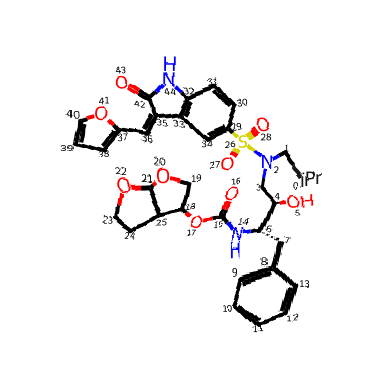 CC(C)CN(C[C@@H](O)[C@H](Cc1ccccc1)NC(=O)OC1COC2OCCC12)S(=O)(=O)c1ccc2c(c1)C(=Cc1ccco1)C(=O)N2